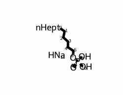 CCCCCCCCCCCCOP(=O)(O)O.[NaH]